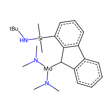 C[N](C)[Mo]([CH]1c2ccccc2-c2cccc([Si](C)(C)NC(C)(C)C)c21)[N](C)C